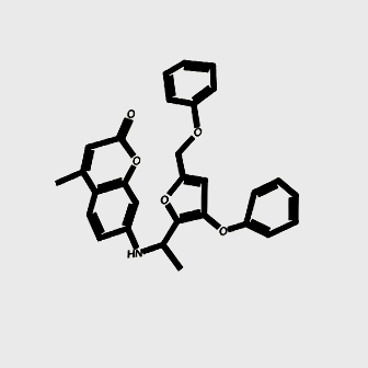 Cc1cc(=O)oc2cc(NC(C)c3oc(COc4ccccc4)cc3Oc3ccccc3)ccc12